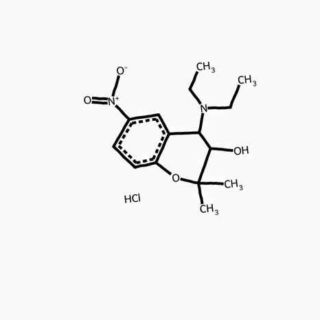 CCN(CC)C1c2cc([N+](=O)[O-])ccc2OC(C)(C)C1O.Cl